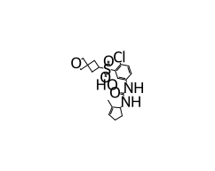 CC1=CCCC1NC(=O)Nc1ccc(Cl)c(S(=O)(=O)C2CC3(COC3)C2)c1O